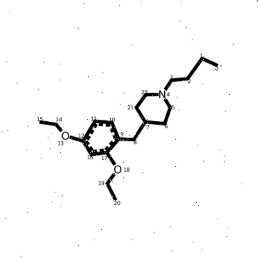 [CH2]CCCN1CCC(Cc2ccc(OCC)cc2OCC)CC1